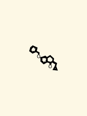 O=C1C(=CC2CC2)CCc2cc(OCc3ccccc3)ccc21